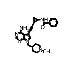 CN1CCC(Cn2cc(C#CC3CC3NC(=O)c3ccccc3)c3c(N)ncnc32)CC1